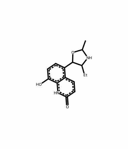 CCC1NC(C)OC1c1ccc(O)c2[nH]c(=O)ccc12